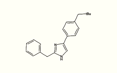 CC(C)(C)Cc1ccc(-c2c[nH]c(Cc3ccccc3)n2)cc1